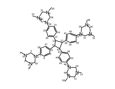 CN1CN(C)CN(c2ccc(C3C(c4ccc(N5CN(C)CN(C)C5)cc4)C(c4ccc(N5CN(C)CN(C)C5)cc4)C3c3ccc(N4CN(C)CN(C)C4)cc3)cc2)C1